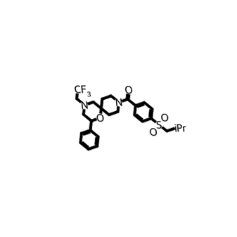 CC(C)CS(=O)(=O)c1ccc(C(=O)N2CCC3(CC2)CN(CC(F)(F)F)CC(c2ccccc2)O3)cc1